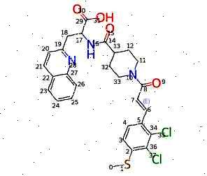 CSc1ccc(/C=C/C(=O)N2CCC(C(=O)NC(Cc3ccc4ccccc4n3)C(=O)O)CC2)c(Cl)c1Cl